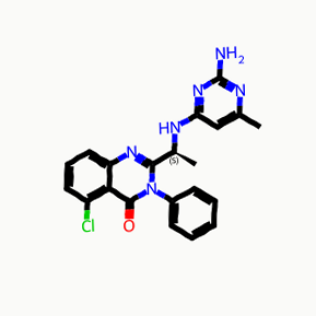 Cc1cc(N[C@@H](C)c2nc3cccc(Cl)c3c(=O)n2-c2ccccc2)nc(N)n1